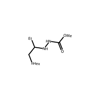 CCCCCCCC(CC)NNC(=O)OC